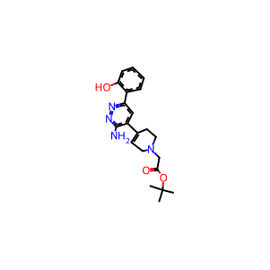 CC(C)(C)OC(=O)CN1CC=C(c2cc(-c3ccccc3O)nnc2N)CC1